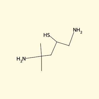 CC(C)(N)CC(S)CN